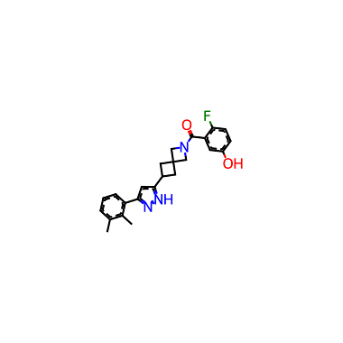 Cc1cccc(-c2cc(C3CC4(C3)CN(C(=O)c3cc(O)ccc3F)C4)[nH]n2)c1C